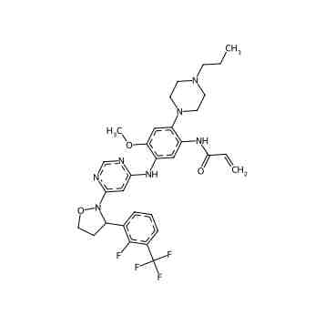 C=CC(=O)Nc1cc(Nc2cc(N3OCCC3c3cccc(C(F)(F)F)c3F)ncn2)c(OC)cc1N1CCN(CCC)CC1